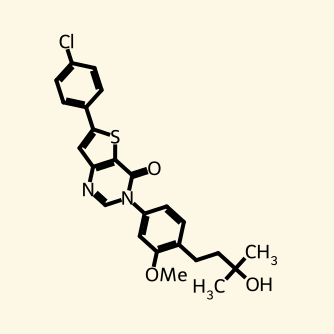 COc1cc(-n2cnc3cc(-c4ccc(Cl)cc4)sc3c2=O)ccc1CCC(C)(C)O